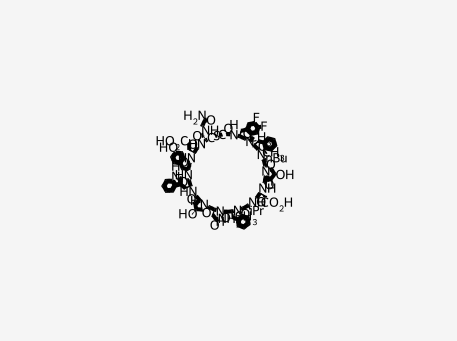 CCCC[C@H]1C(=O)N2C[C@H](O)C[C@@H]2C(=O)N[C@@H](CC(=O)O)C(=O)N[C@@H](C(C)C)C(=O)N(C)[C@@H](Cc2ccccc2)C(=O)N[C@@H](CC(N)=O)C(=O)N2C[C@H](O)C[C@H]2C(=O)N[C@@H](Cc2c[nH]c3ccccc23)C(=O)NC(Cc2ccc(O)cc2)C(=O)N[C@@H](CCC(=O)O)C(=O)N[C@H](C(=O)NCC(N)=O)CSCC(=O)N[C@@H](Cc2ccc(F)c(F)c2)C(=O)N(C)[C@@H](Cc2ccccc2)C(=O)N1C